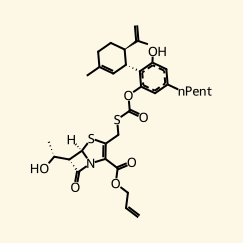 C=CCOC(=O)C1=C(CSC(=O)Oc2cc(CCCCC)cc(O)c2[C@@H]2C=C(C)CC[C@H]2C(=C)C)S[C@@H]2[C@@H]([C@@H](C)O)C(=O)N12